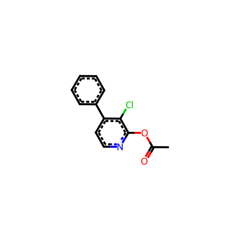 CC(=O)Oc1nccc(-c2ccccc2)c1Cl